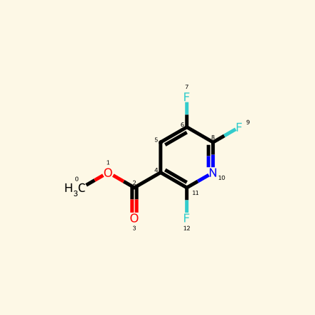 COC(=O)c1cc(F)c(F)nc1F